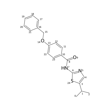 CC(C)c1cnc(NC(=O)c2ccc(OCc3ccccc3)cc2)s1